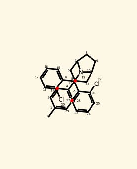 Cc1ccc(C2CC3CCC(C2)N3C(c2ccccc2Cl)c2ccccc2Cl)nc1